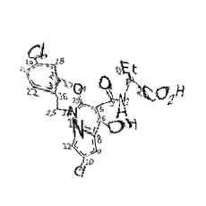 CC[C@H](NC(=O)c1c(O)c2cc(Cl)cn2n(Cc2ccc(Cl)cc2)c1=O)C(=O)O